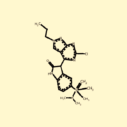 C=S(C)(C)(c1ccc2c(c1)C(c1nc(Cl)nc3nn(CCC)cc13)C(=O)N2)N(C)C